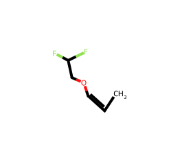 C/C=C\OC[C](F)F